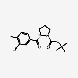 Cc1ccc(C(=O)[C@@H]2CCCN2C(=O)OC(C)(C)C)cc1Cl